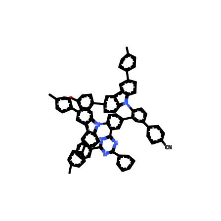 Cc1ccc(-c2ccc3c(c2)c2cc(-c4ccc(C)cc4)ccc2n3-c2ccc(-c3ccc(C#N)cc3)cc2-c2ccc(-n3c4ccc(-c5ccc(C)cc5)cc4c4cc(-c5ccc(C)cc5)ccc43)c(-c3nc(-c4ccccc4)nc(-c4ccccc4)n3)c2)cc1